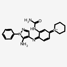 NC(=O)NC1=CC(=[N+]2CCCCC2)C=C/C1=N/c1cnn(-c2ccccc2)c1N